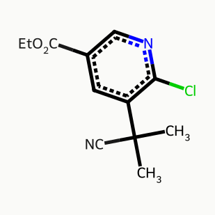 CCOC(=O)c1cnc(Cl)c(C(C)(C)C#N)c1